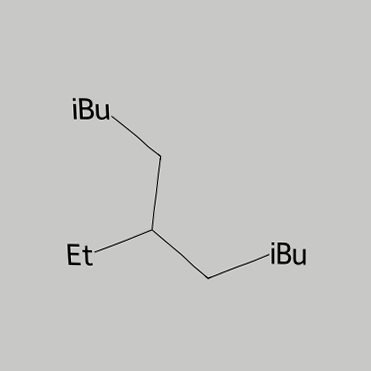 CCC(C)CC(CC)CC(C)CC